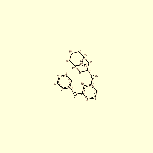 c1ccc(Oc2cccc(OC3CC4CCCC(C3)N4)c2)cc1